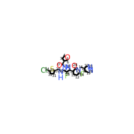 O=C(c1ccoc1)n1nc(-c2ccc(F)n(Cc3ccnnc3)c2=O)c(F)c1NCc1ccc(Cl)s1